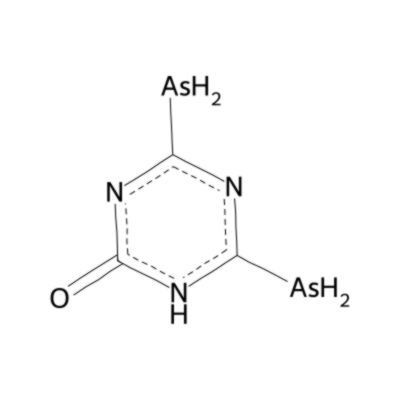 O=c1nc([AsH2])nc([AsH2])[nH]1